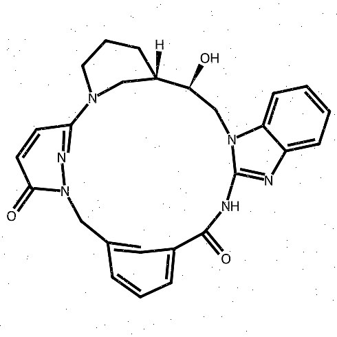 O=C1Nc2nc3ccccc3n2C[C@H](O)[C@H]2CCCN(C2)c2ccc(=O)n(n2)Cc2cccc1c2